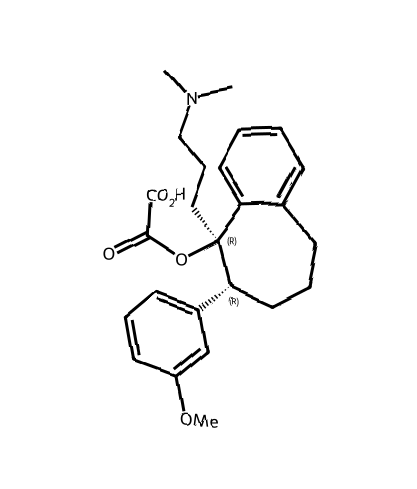 COc1cccc([C@H]2CCCc3ccccc3[C@]2(CCCN(C)C)OC(=O)C(=O)O)c1